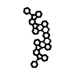 c1ccc(-n2c3ccccc3c3c2ccc2c4cccc5c4n(c23)-c2cccc3c2B5c2cc4c(cc2S3)Sc2cccc3c2B4c2cccc4c5ccc6c(c7ccccc7n6-c6ccccc6)c5n-3c24)cc1